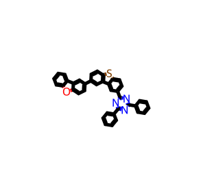 c1ccc(-c2nc(-c3ccccc3)nc(-c3ccc4sc5ccc(-c6ccc7oc8ccccc8c7c6)cc5c4c3)n2)cc1